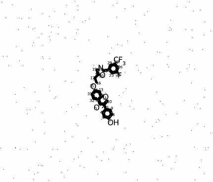 O=c1c(-c2ccc(O)cc2)coc2cc(OCCc3cnc(-c4cc(F)cc(C(F)(F)F)c4)o3)ccc12